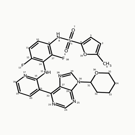 Cc1ccc(S(=O)(=O)Nc2ccc(F)c(Nc3ncccc3-c3ncnc4c3ncn4C3CCCCO3)c2F)o1